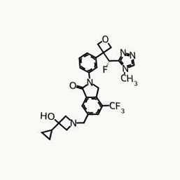 Cn1cnnc1[C@H](F)C1(c2cccc(N3Cc4c(cc(CN5CC(O)(C6CC6)C5)cc4C(F)(F)F)C3=O)c2)COC1